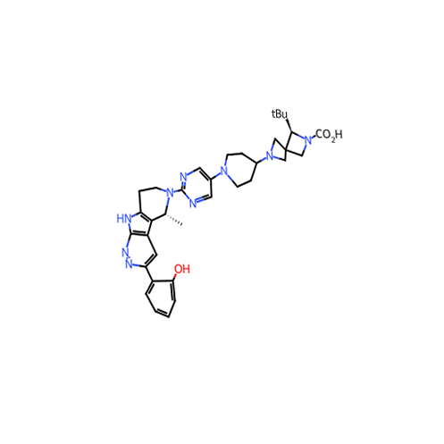 C[C@@H]1c2c([nH]c3nnc(-c4ccccc4O)cc23)CCN1c1ncc(N2CCC(N3CC4(C3)CN(C(=O)O)[C@@H]4C(C)(C)C)CC2)cn1